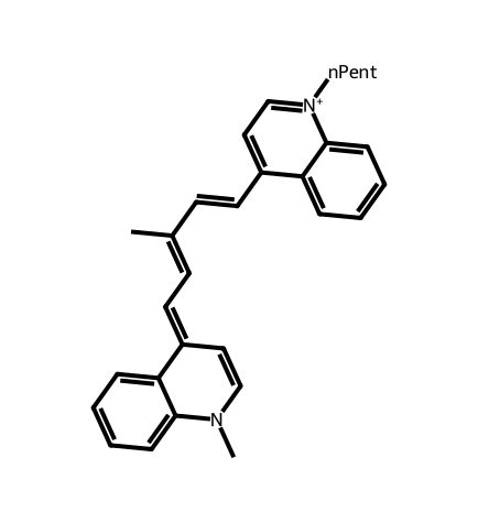 CCCCC[n+]1ccc(C=CC(C)=CC=C2C=CN(C)c3ccccc32)c2ccccc21